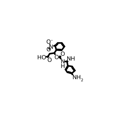 N=C(NC(=O)OC(CC(=O)O)c1ccccc1[N+](=O)[O-])c1ccc(N)cc1